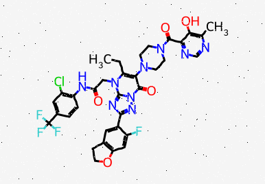 CCc1c(N2CCN(C(=O)c3ncnc(C)c3O)CC2)c(=O)n2nc(-c3cc4c(cc3F)OCC4)nc2n1CC(=O)Nc1ccc(C(F)(F)F)cc1Cl